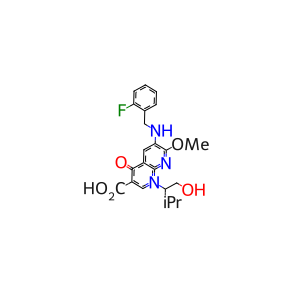 COc1nc2c(cc1NCc1ccccc1F)c(=O)c(C(=O)O)cn2C(CO)C(C)C